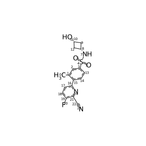 Cc1cc(S(=O)(=O)N[C@H]2C[C@@H](O)C2)ccc1-c1ccc(F)c(C#N)n1